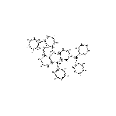 c1ccc(N(c2ccccc2)c2ccc3c(c2)n(-c2ccccc2)c2cccc4c2-n3c2cccc3c5cccnc5n4c32)cc1